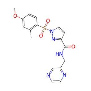 COc1ccc(S(=O)(=O)n2ccc(C(=O)NCc3cnccn3)n2)c(C)c1